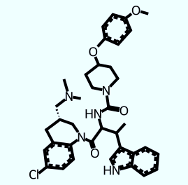 COc1ccc(OC2CCN(C(=O)NC(C(=O)N3C[C@@H](CN(C)C)Cc4cc(Cl)ccc43)C(C)c3c[nH]c4ccccc34)CC2)cc1